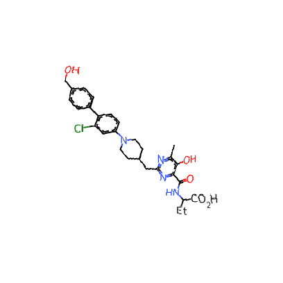 CCC(NC(=O)c1nc(CC2CCN(c3ccc(-c4ccc(CO)cc4)c(Cl)c3)CC2)nc(C)c1O)C(=O)O